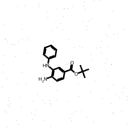 CC(C)(C)OC(=O)c1ccc(N)c(Nc2ccccc2)c1